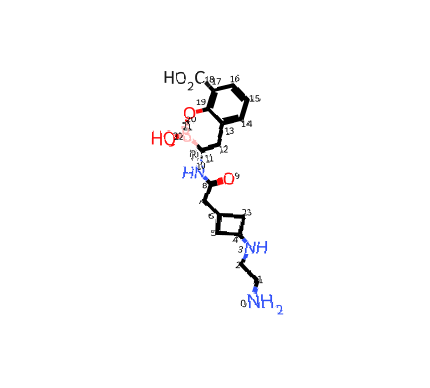 NCCNC1CC(CC(=O)N[C@H]2Cc3cccc(C(=O)O)c3OB2O)C1